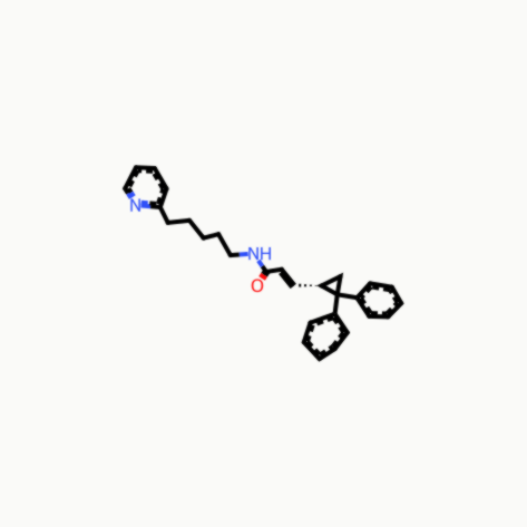 O=C(/C=C/[C@@H]1CC1(c1ccccc1)c1ccccc1)NCCCCCc1ccccn1